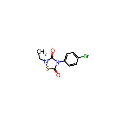 CCn1sc(=O)n(-c2ccc(Br)cc2)c1=O